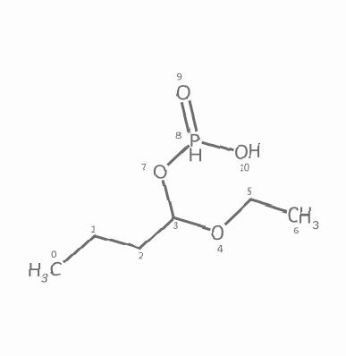 CCCC(OCC)O[PH](=O)O